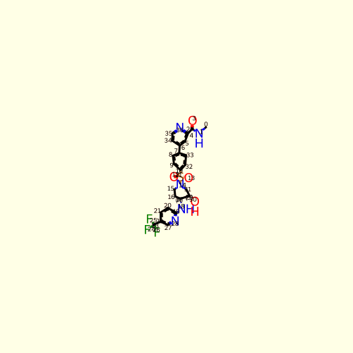 CNC(=O)c1cc(-c2ccc(S(=O)(=O)N3CC[C@@H](Nc4ccc(C(F)(F)F)cn4)[C@@H](O)C3)cc2)ccn1